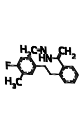 C=NNC(=C)c1ccccc1CCc1ccc(F)c(C)c1